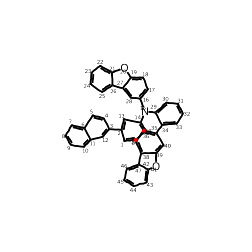 c1cc(-c2ccc3ccccc3c2)cc(N(c2ccc3oc4ccccc4c3c2)c2ccccc2-c2ccc3c(c2)oc2ccccc23)c1